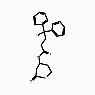 O=C1CC(NC(=O)CCC(O)(c2ccccc2)c2ccccc2)CCN1